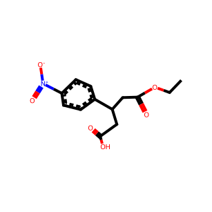 CCOC(=O)CC(CC(=O)O)c1ccc([N+](=O)[O-])cc1